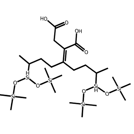 CC(CCC(CCC(C)[SiH](O[Si](C)(C)C)O[Si](C)(C)C)=C(CC(=O)O)C(=O)O)[SiH](O[Si](C)(C)C)O[Si](C)(C)C